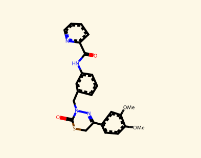 COc1ccc(C2=NN(Cc3cccc(NC(=O)c4ccccn4)c3)C(=O)SC2)cc1OC